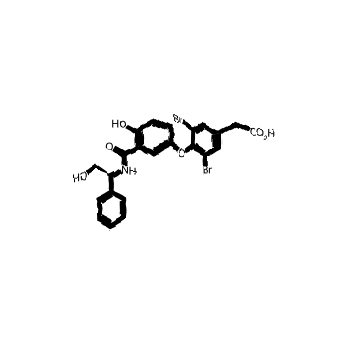 O=C(O)Cc1cc(Br)c(Oc2ccc(O)c(C(=O)N[C@H](CO)c3ccccc3)c2)c(Br)c1